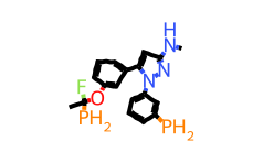 CNc1cc(-c2cccc(OC(C)(F)P)c2)n(-c2cccc(P)c2)n1